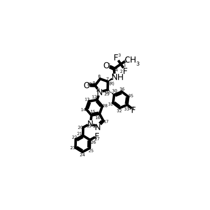 CC(F)(F)C(=O)N[C@@H]1CC(=O)N(c2ccc3c(cnn3Cc3ccccc3F)c2)[C@H]1c1ccc(F)cc1